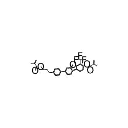 C=C(C)C(=O)OCCCc1ccc(-c2ccc3c(c2)oc2c(C(F)(F)F)c(OC(=O)C(=C)C)ccc23)cc1